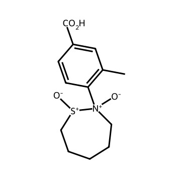 Cc1cc(C(=O)O)ccc1[N+]1([O-])CCCCC[S+]1[O-]